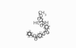 C#CC(CC(=O)OCC)NC(=O)[C@@H]1CCCN(C(=O)COC2CCN(C(=O)OCc3ccccc3)CC2)C1